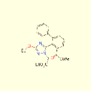 CCOC(=O)Cn1nc(OCC)nc1-c1c(C(=O)OC)cccc1-c1ccccc1